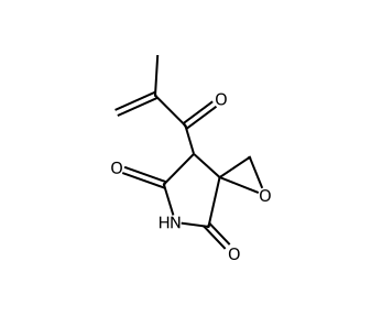 C=C(C)C(=O)C1C(=O)NC(=O)C12CO2